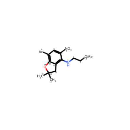 COCCNc1c([N+](=O)[O-])cc(C(C)=O)c2c1CC(C)(C)O2